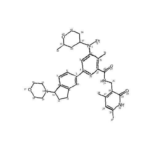 CCN(c1cc(-c2ccc3c(c2)CCC3N2CCOCC2)cc(C(=O)NCc2c(C)cc(C)[nH]c2=O)c1C)C1CCOC(C)C1